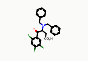 O=C(O)CC(C(=O)c1cc(F)c(F)cc1F)N(Cc1ccccc1)Cc1ccccc1